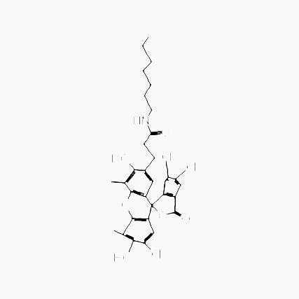 CCCCCCCNC(=O)CCc1cc2c(c(Cl)c1O)Oc1c(cc(Cl)c(O)c1C)C21OC(=O)c2cc(Cl)c(Cl)cc21